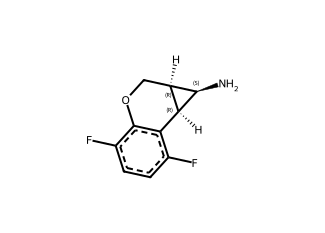 N[C@@H]1[C@@H]2COc3c(F)ccc(F)c3[C@H]12